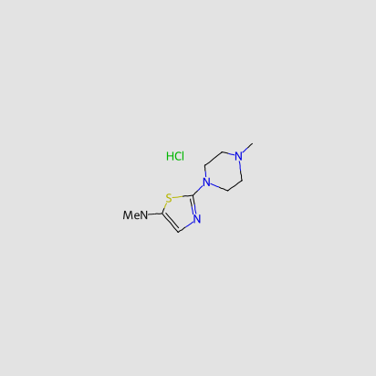 CNc1cnc(N2CCN(C)CC2)s1.Cl